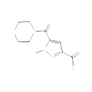 CCn1nc(C(N)=O)cc1C(=O)N1CCOCC1